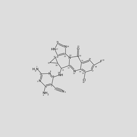 N#Cc1c(N)nc(N)nc1NC(c1nc2c(Cl)cc(F)cc2c(=O)n1-c1c[nH]cn1)C1CC1